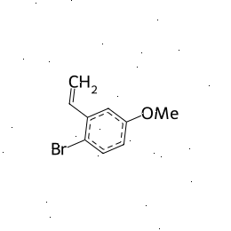 C=Cc1cc(OC)ccc1Br